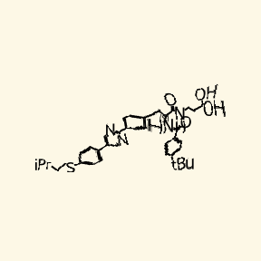 CC(C)CCSc1ccc(-c2cnc(-c3ccc(C[C@H](NC(=O)c4ccc(C(C)(C)C)cc4)C(=O)NCCC(O)O)cc3)nc2)cc1